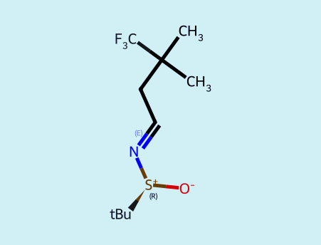 CC(C)(C)[S@+]([O-])/N=C/CC(C)(C)C(F)(F)F